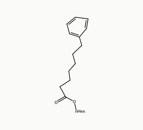 CCCCCCOC(=O)CCCCCCc1c[c]ccc1